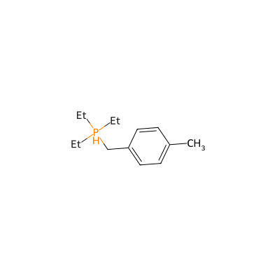 CC[PH](CC)(CC)Cc1ccc(C)cc1